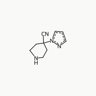 N#CC1(n2cccn2)CCNCC1